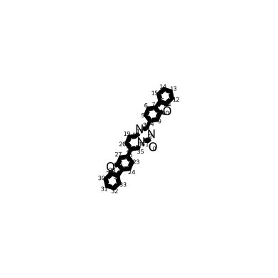 O=c1nc(-c2ccc3c(c2)oc2ccccc23)nc2ccc(-c3ccc4c(c3)oc3ccccc34)cn12